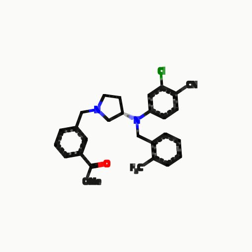 COC(=O)c1cccc(CN2CC[C@H](N(Cc3ccccc3C(F)(F)F)c3ccc(C#N)c(Cl)c3)C2)c1